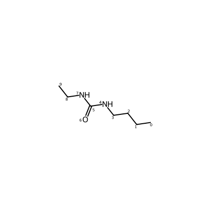 CCCCNC(=O)NCC